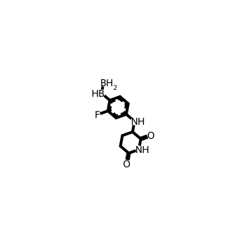 BBc1ccc(NC2CCC(=O)NC2=O)cc1F